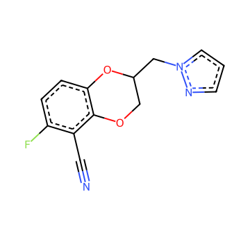 N#Cc1c(F)ccc2c1OCC(Cn1cccn1)O2